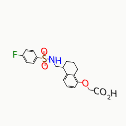 O=C(O)COc1cccc2c1CCCC2CNS(=O)(=O)c1ccc(F)cc1